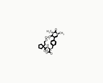 COCCC1(C(=O)N[C@@H](Cc2ccc(-c3cn(C)c(=O)n(C)c3=O)cc2)C(=O)O)CCCC1